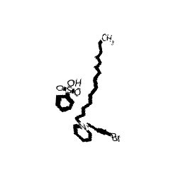 CCCCCCCCCCCCCC[N+]1(CC#CBr)CCCCC1.O=S(=O)(O)c1ccccc1